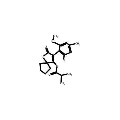 COc1cc(C)cc(Cl)c1C1=C(OC(=O)C(C)C)C2(CCCC2)OC1=O